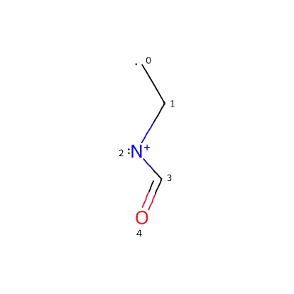 [CH2]C[N+]C=O